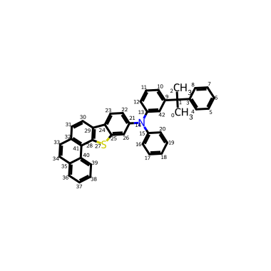 CC(C)(c1ccccc1)c1cccc(N(c2ccccc2)c2ccc3c(c2)sc2c3ccc3ccc4ccccc4c32)c1